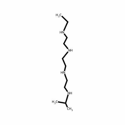 CCNCCNCCNCCNC(C)C